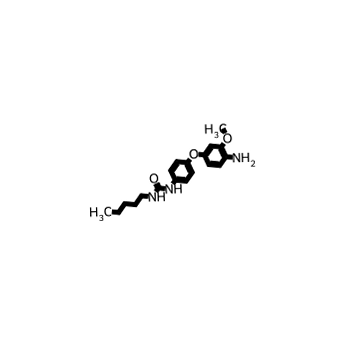 CCCCCNC(=O)Nc1ccc(Oc2ccc(N)c(OC)c2)cc1